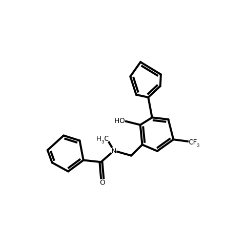 CN(Cc1cc(C(F)(F)F)cc(-c2ccccc2)c1O)C(=O)c1ccccc1